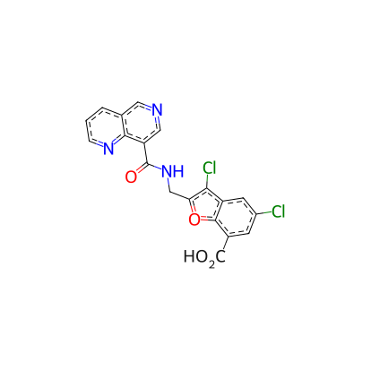 O=C(NCc1oc2c(C(=O)O)cc(Cl)cc2c1Cl)c1cncc2cccnc12